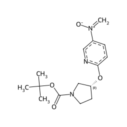 C=[N+]([O-])c1ccc(O[C@@H]2CCN(C(=O)OC(C)(C)C)C2)nc1